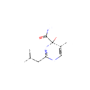 CCOC(=O)C(C)CC1=NC(O)(C(N)=O)C(C(=O)O)=CN1